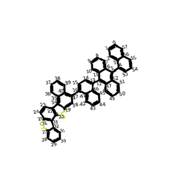 c1ccc2c(-c3c4ccccc4c(-c4ccc(-c5cc6sc7c(ccc8sc9ccccc9c87)c6c6ccccc56)c5ccccc45)c4ccccc34)cccc2c1